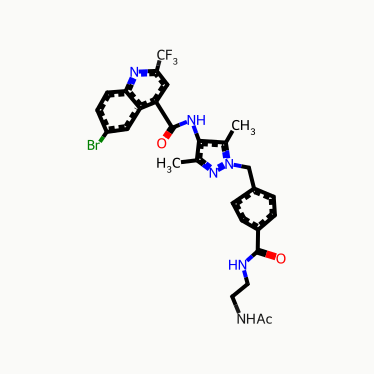 CC(=O)NCCNC(=O)c1ccc(Cn2nc(C)c(NC(=O)c3cc(C(F)(F)F)nc4ccc(Br)cc34)c2C)cc1